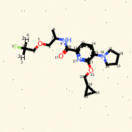 [2H]C([2H])(F)COCC(C)NC(=O)c1ccc(N2CCCC2)c(OCC2CC2)n1